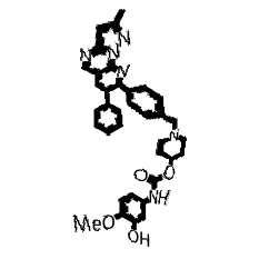 COc1ccc(NC(=O)OC2CCN(Cc3ccc(-c4nc5c(cnc6cc(C)nn65)cc4-c4ccccc4)cc3)CC2)cc1O